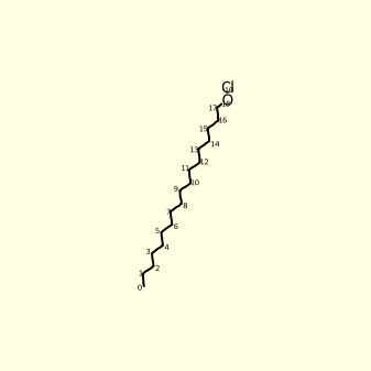 CCCCCCCCCCCCCCCCCCOCl